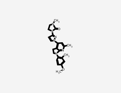 COc1ccc(N2CCc3c(-n4ccc(N5CCN(C)C5=O)n4)cc(C)nc32)c(C)c1